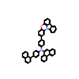 c1ccc2c(-c3ccc(N(c4ccc(-c5ccc6c(c5)-n5c7ccccc7c7cccc(c75)O6)cc4)c4cc5ccccc5c5ccccc45)cc3)cccc2c1